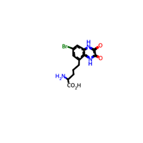 NC(CCCc1cc(Br)cc2[nH]c(=O)c(=O)[nH]c12)C(=O)O